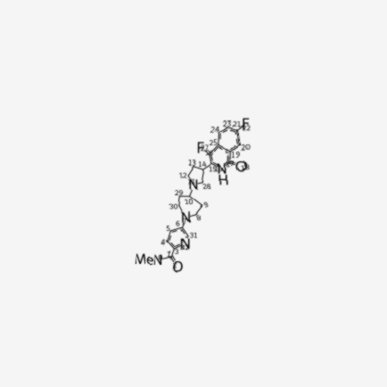 CNC(=O)c1ccc(N2CCC(N3CCC(c4[nH]c(=O)c5cc(F)ccc5c4F)C3)CC2)cn1